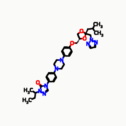 CCC(C)n1ncn(-c2ccc(N3CCN(c4ccc(OC[C@@H]5CO[C@](CC(C)C)(Cn6nccn6)O5)cc4)CC3)cc2)c1=O